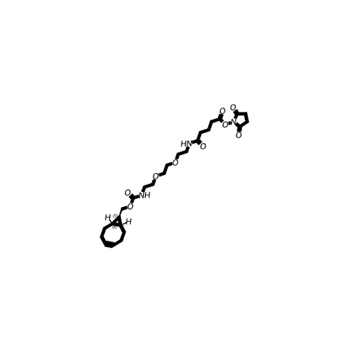 O=C(CCCC(=O)ON1C(=O)CCC1=O)NCCOCCOCCNC(=O)OC[C@@H]1[C@@H]2CCC#CCC[C@@H]21